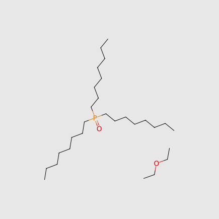 CCCCCCCCP(=O)(CCCCCCCC)CCCCCCCC.CCOCC